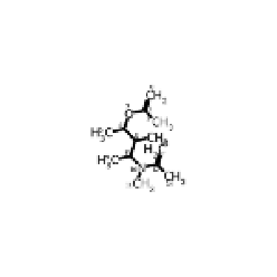 C=C(C)OC(C)C(C)C(C)N(C)C(=C)C